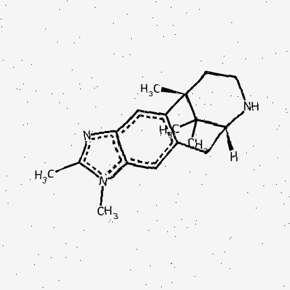 Cc1nc2cc3c(cc2n1C)C[C@H]1NCC[C@]3(C)C1(C)C